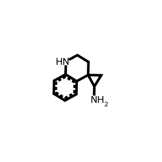 NC1CC12CCNc1ccccc12